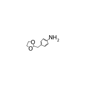 Nc1ccc(CC2OCCO2)cc1